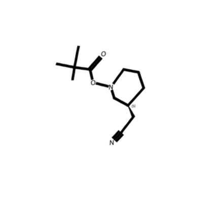 CC(C)(C)C(=O)ON1CCC[C@@H](CC#N)C1